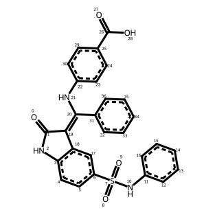 O=C1Nc2ccc(S(=O)(=O)Nc3ccccc3)cc2/C1=C(/Nc1ccc(C(=O)O)cc1)c1ccccc1